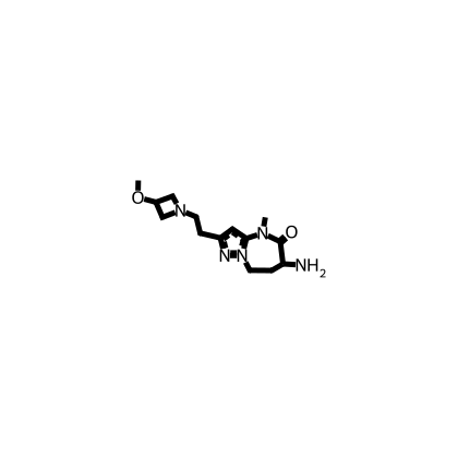 COC1CN(CCc2cc3n(n2)CCC(N)C(=O)N3C)C1